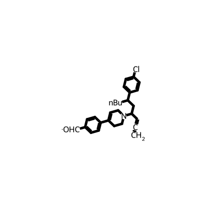 C=C=CC(CC(CCCC)c1ccc(Cl)cc1)N1CC=C(c2ccc([C]=O)cc2)CC1